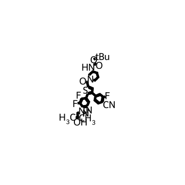 CC(C)(O)Cn1nnc2cc(-c3sc(C(=O)N4CCC[C@@H](NC(=O)OC(C)(C)C)C4)cc3-c3ccc(C#N)c(F)c3)c(F)c(F)c21